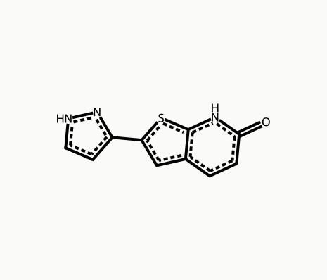 O=c1ccc2cc(-c3cc[nH]n3)sc2[nH]1